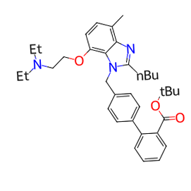 CCCCc1nc2c(C)ccc(OCCN(CC)CC)c2n1Cc1ccc(-c2ccccc2C(=O)OC(C)(C)C)cc1